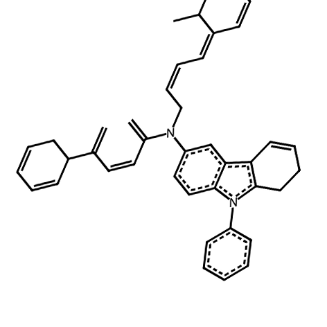 C=C(/C=C\C(=C)N(C/C=C\C=C1\C=CC=CC1C)c1ccc2c(c1)c1c(n2-c2ccccc2)CCC=C1)C1C=CC=CC1